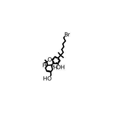 CC(C)(CCCCCCBr)c1cc(O)c2c(c1)OC(C)(C)[C@@H]1CC=C(CO)C[C@@H]21